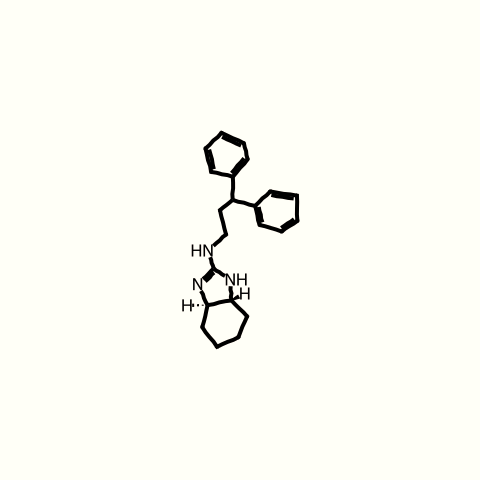 c1ccc(C(CCNC2=N[C@@H]3CCCC[C@H]3N2)c2ccccc2)cc1